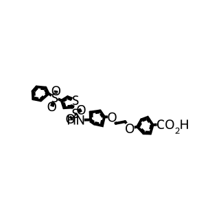 O=C(O)c1ccc(OCCOc2ccc(NS(=O)(=O)c3cc(S(=O)(=O)c4ccccc4)cs3)cc2)cc1